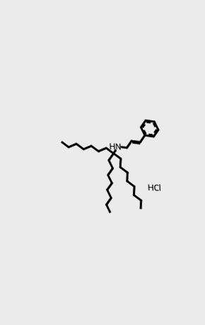 CCCCCCCCC(CCCCCCC)(CCCCCCCC)NCC=Cc1ccccc1.Cl